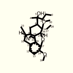 CCCC(C)(O)C1CC2[C@H]3Cc4ccc(OC)c5c4[C@@]2(CCN3C)[C@@H](O5)[C@]1(CC)OC